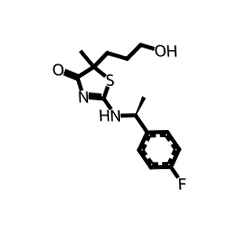 C[C@H](NC1=NC(=O)C(C)(CCCO)S1)c1ccc(F)cc1